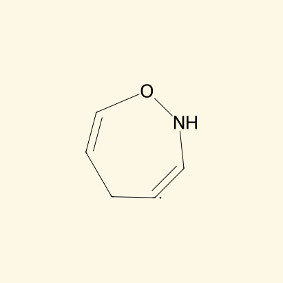 [C]1=CNOC=CC1